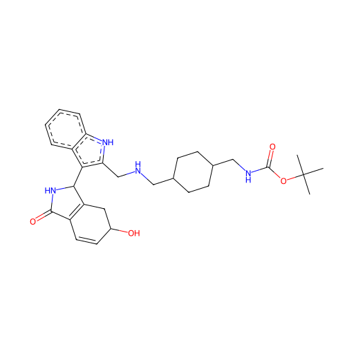 CC(C)(C)OC(=O)NCC1CCC(CNCc2[nH]c3ccccc3c2C2NC(=O)C3=C2CC(O)C=C3)CC1